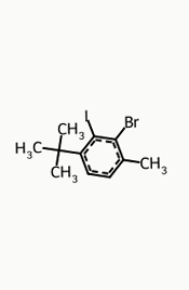 Cc1ccc(C(C)(C)C)c(I)c1Br